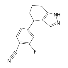 N#Cc1ccc(C2CCCc3[nH]ncc32)cc1F